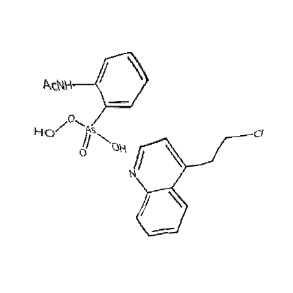 CC(=O)Nc1ccccc1[As](=O)(O)OO.ClCCc1ccnc2ccccc12